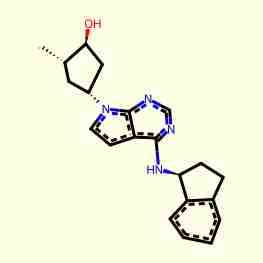 [CH2][C@H]1C[C@@H](n2ccc3c(N[C@H]4CCc5ccccc54)ncnc32)C[C@@H]1O